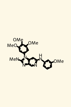 CNc1nc2cnc(Nc3cccc(OC)c3)cc2n1-c1cc(OC)c(OC)c(OC)c1